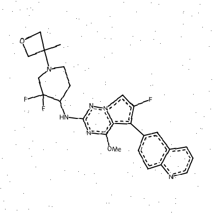 COc1nc(NC2CCN(C3(C)COC3)CC2(F)F)nn2cc(F)c(-c3ccc4ncccc4c3)c12